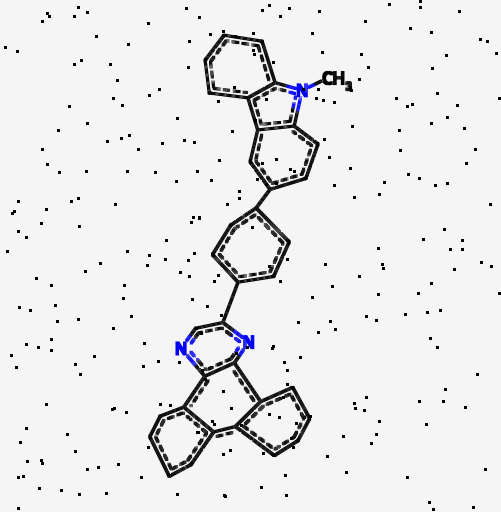 Cn1c2ccccc2c2cc(-c3ccc(-c4cnc5c6ccccc6c6ccccc6c5n4)cc3)ccc21